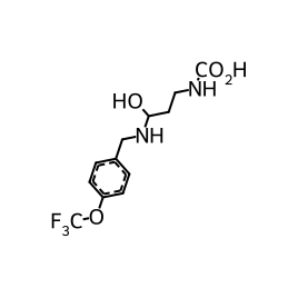 O=C(O)NCCC(O)NCc1ccc(OC(F)(F)F)cc1